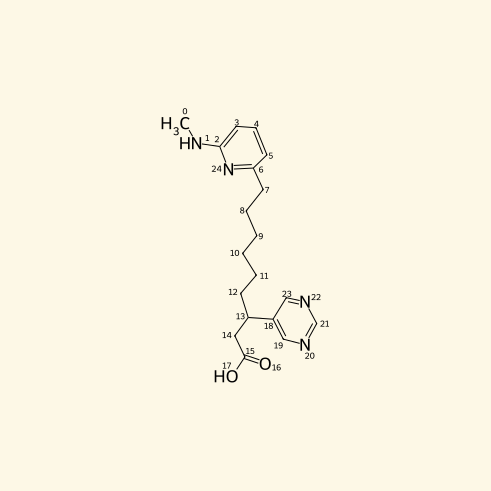 CNc1cccc(CCCCCCC(CC(=O)O)c2cncnc2)n1